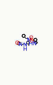 CC1CC(N(CCc2ccccc2)C(=O)Oc2cccc3cc[nH]c23)CC1NCCN1CCOCC1